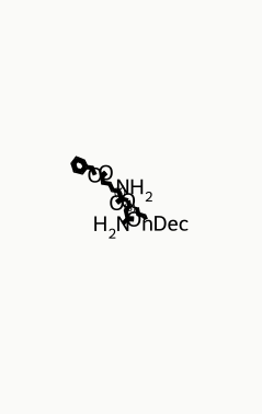 CCCCCCCCCCCCC[C@@H](CC(N)=O)OC(=O)[C@@H](N)CCCC(=O)OCc1ccccc1